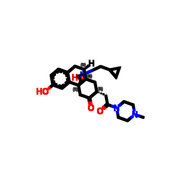 CN1CCN(C(=O)C[C@H]2C[C@@]3(O)[C@H]4Cc5ccc(O)cc5[C@@]3(CCN4CC3CC3)CC2=O)CC1